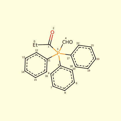 CCC(=O)P(C=O)(c1ccccc1)(c1ccccc1)c1ccccc1